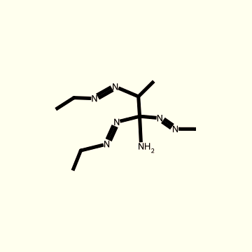 CCN=NC(C)C(N)(N=NC)N=NCC